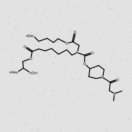 CCCCCCCCCCCCCCOC(=O)CN(CCCCCCC(=O)OCC(CCCCCC)CCCCCCCC)C(=O)OC1CCN(C(=O)CN(C)C)CC1